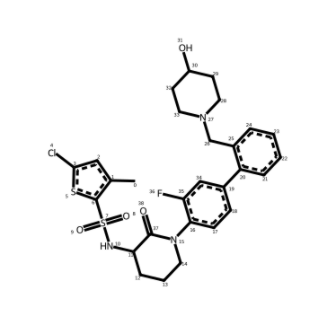 Cc1cc(Cl)sc1S(=O)(=O)NC1CCCN(c2ccc(-c3ccccc3CN3CCC(O)CC3)cc2F)C1=O